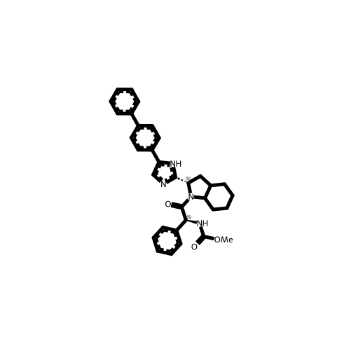 COC(=O)N[C@H](C(=O)N1C2CCCCC2C[C@H]1c1ncc(-c2ccc(-c3ccccc3)cc2)[nH]1)c1ccccc1